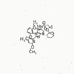 CCOc1cccc(-c2nc3ncc(NS(=O)(=O)CC4(OC5CCCCO5)CC4)nc3n2-c2c(OC)cccc2OC)n1